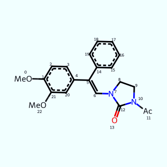 COc1ccc(C(=CN2CCN(C(C)=O)C2=O)c2ccccc2)cc1OC